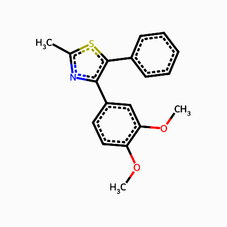 COc1ccc(-c2nc(C)sc2-c2ccccc2)cc1OC